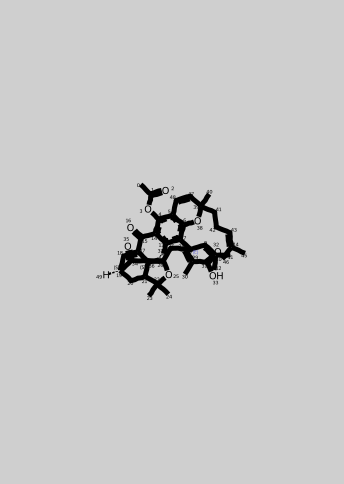 CC(=O)Oc1c2c(c(CC=C(C)C)c3c1C(=O)C1=C[C@@H]4CC5C(C)(C)OC(C/C=C(\C)C(=O)O)(C4=O)[C@@]15O3)OC(C)(CCC=C(C)C)C=C2